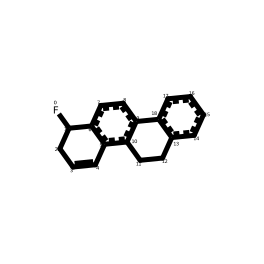 FC1CC=Cc2c1ccc1c2CCc2ccccc2-1